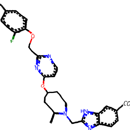 CC1CC(Oc2ccnc(COc3ccc(C#N)cc3F)n2)CCN1Cc1nc2ccc(C(=O)O)cc2[nH]1